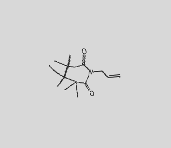 C=CCN1C(=O)C(C)(C)C(C)(C)C(C)(C)C1=O